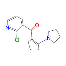 O=C(C1=C(N2CCCC2)CCC1)c1cccnc1Cl